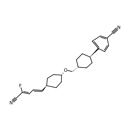 N#C/C(F)=C/C=C/[C@H]1CC[C@H](OC[C@H]2CC[C@H](c3ccc(C#N)cc3)CC2)CC1